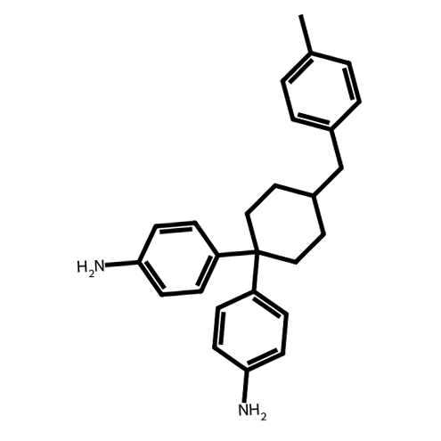 Cc1ccc(CC2CCC(c3ccc(N)cc3)(c3ccc(N)cc3)CC2)cc1